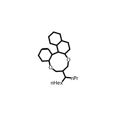 CCCCCCC(CCC)C1COC2CCC3CCCCC3C2C2C(CCC3CCCCC32)OC1